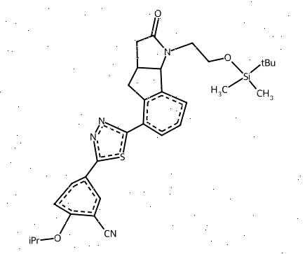 CC(C)Oc1ccc(-c2nnc(-c3cccc4c3CC3CC(=O)N(CCO[Si](C)(C)C(C)(C)C)C43)s2)cc1C#N